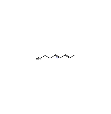 CC=C/C=[C]/CCCCCC